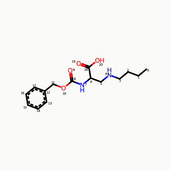 CCCCNCC(NC(=O)OCc1ccccc1)C(=O)O